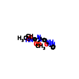 CC(C)OC(=O)N[C@H]1CC[C@H](c2ncc(-c3ccc(NC(=O)NCc4ccccc4)cc3)n2CCS(C)(=O)=O)CC1